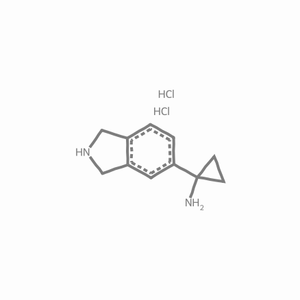 Cl.Cl.NC1(c2ccc3c(c2)CNC3)CC1